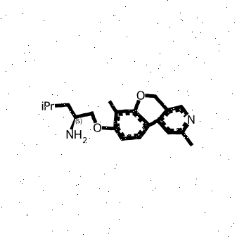 Cc1cc2c(cn1)COc1c-2ccc(OC[C@@H](N)CC(C)C)c1C